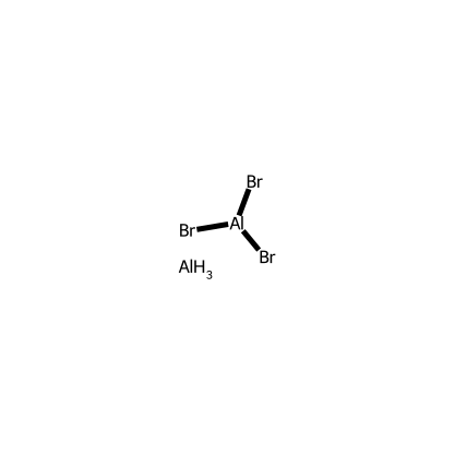 [AlH3].[Br][Al]([Br])[Br]